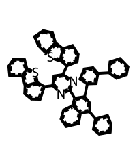 c1ccc(-c2cccc(-c3cc(-c4ccccc4)c4ccccc4c3-c3nc(-c4cccc5c4sc4ccccc45)cc(-c4cccc5c4sc4ccccc45)n3)c2)cc1